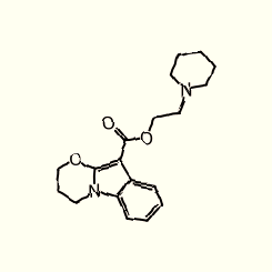 O=C(OCCN1CCCCC1)c1c2n(c3ccccc13)CCCO2